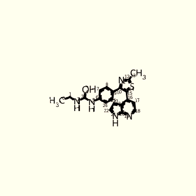 CCNC(O)Nc1ccc(-c2nc(C)sc2-c2ccnc3[nH]ccc23)cc1